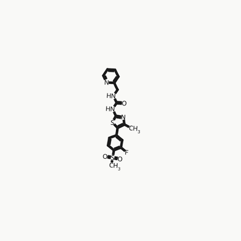 Cc1nc(NC(=O)NCc2ccccn2)sc1-c1ccc(S(C)(=O)=O)c(F)c1